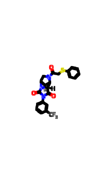 O=C1[C@H]2C3CC(CN3C(=O)CSc3ccccc3)N2C(=O)N1c1cccc(C(F)(F)F)c1